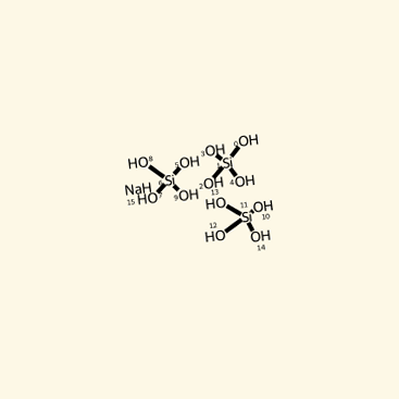 O[Si](O)(O)O.O[Si](O)(O)O.O[Si](O)(O)O.[NaH]